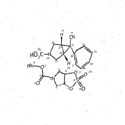 CC(C)(C)OC(=O)N1CC2OS(=O)(=O)OC2C1.N#CC1(c2ccccc2)[C@@H]2CN(C(=O)O)C[C@@H]21